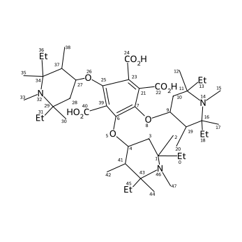 CCC1(C)CC(Oc2c(OC3CC(C)(CC)N(C)C(C)(CC)C3C)c(C(=O)O)c(C(=O)O)c(OC3CC(C)(CC)N(C)C(C)(CC)C3C)c2C(=O)O)C(C)C(C)(CC)N1C